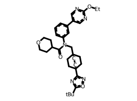 CCOc1ncc(-c2cccc(N(CC34CCC(c5noc(C(C)(C)C)n5)(CC3)CC4)C(=O)C3CCOCC3)c2)cn1